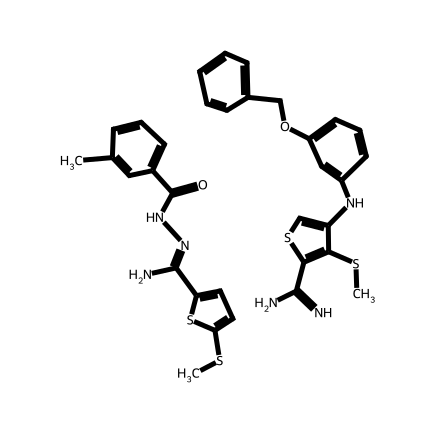 CSc1c(Nc2cccc(OCc3ccccc3)c2)csc1C(=N)N.CSc1ccc(C(N)=NNC(=O)c2cccc(C)c2)s1